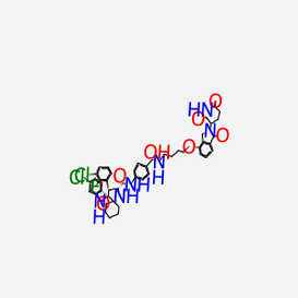 O=C1CCC(N2Cc3c(OCCCCNC(O)c4ccc(NC(=O)[C@@H]5NC6(CCCCC6)[C@@]6(C(=O)Nc7cc(Cl)ccc76)[C@H]5c5cccc(Cl)c5F)cc4)cccc3C2=O)C(=O)N1